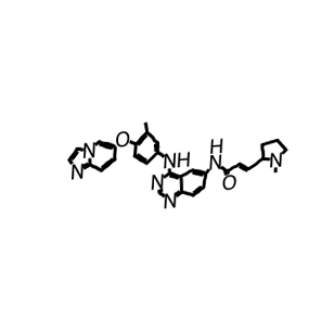 Cc1cc(Nc2ncnc3ccc(NC(=O)C=CC4CCCN4C)cc23)ccc1Oc1ccc2nccn2c1